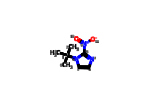 C[Si](C)(C)n1ccnc1[N+](=O)[O-]